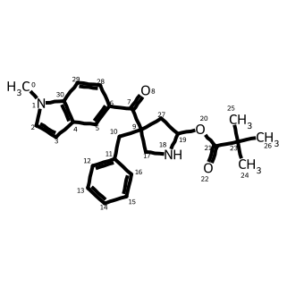 Cn1ccc2cc(C(=O)C3(Cc4ccccc4)CNC(OC(=O)C(C)(C)C)C3)ccc21